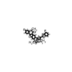 CNC(=O)c1c(-c2ccc(F)cc2)oc2cc(N(C)S(C)(=O)=O)c(-c3cc(C)c(-c4nc5c(F)cccc5o4)s3)cc12